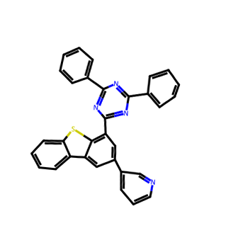 c1ccc(-c2nc(-c3ccccc3)nc(-c3cc(-c4cccnc4)cc4c3sc3ccccc34)n2)cc1